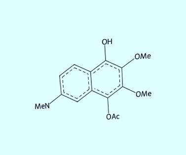 CNc1ccc2c(O)c(OC)c(OC)c(OC(C)=O)c2c1